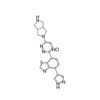 Cl.c1nc2c(-c3cn[nH]c3)ccc(-c3ccc(N4CC5CNCC5C4)nn3)c2s1